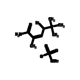 CCC(C=C(C)C(N)=O)[N+](C)(C)C.COS(=O)(=O)[O-]